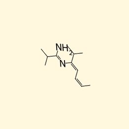 C\C=C/C=C(\N=C(/N)C(C)C)C(C)C